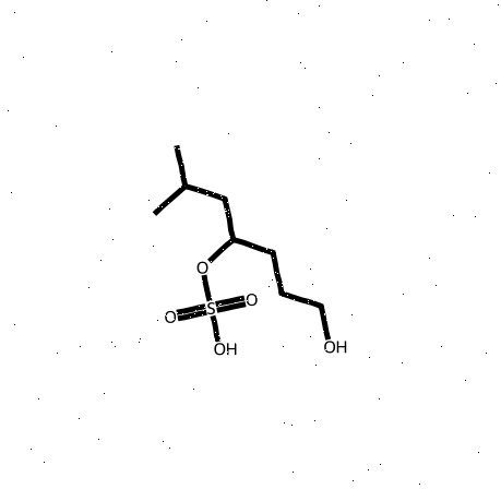 CC(C)CC(CCCO)OS(=O)(=O)O